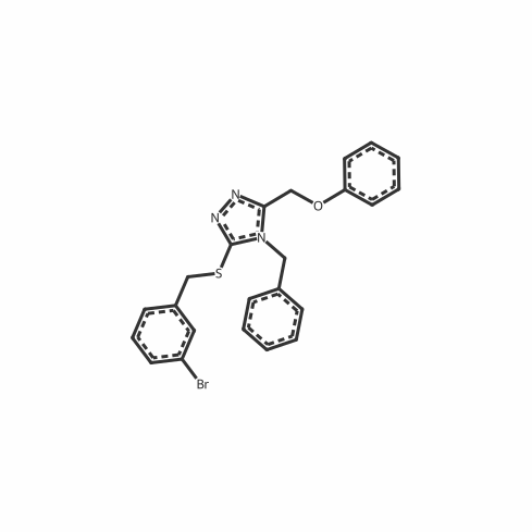 Brc1cccc(CSc2nnc(COc3ccccc3)n2Cc2ccccc2)c1